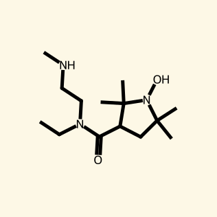 CCN(CCNC)C(=O)C1CC(C)(C)N(O)C1(C)C